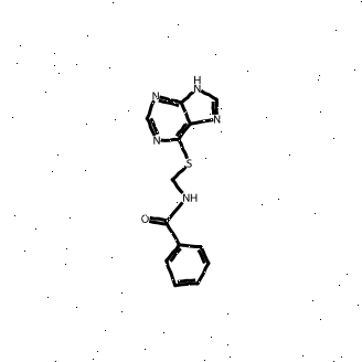 O=C(NCSc1ncnc2[nH]cnc12)c1ccccc1